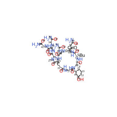 CCC(C)C1NC(=O)[C@H](Cc2ccc(O)cc2)NC(=O)CNC(=O)CC[C@@H](C(=O)N(C)CC(=O)N[C@@H](CCC(N)=O)C(=O)NCC(N)=O)NC(=O)[C@H](CC(N)=O)NC[C@](C=O)(CCC(N)=O)NC1=O